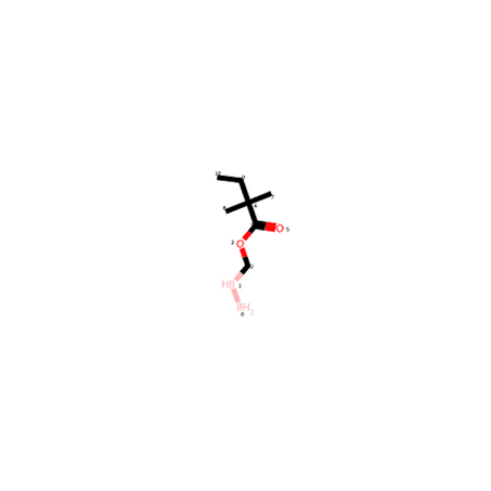 BBCOC(=O)C(C)(C)CC